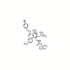 Cc1ccc(-c2c(CNC(=O)OC(C)(C)C)c(CC(C)C)nc(C)c2C(=O)OCc2ccc(Br)cc2)cc1